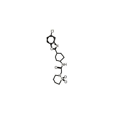 O=C(CN1CCCCS1(=O)=O)NC1CCC(c2nc3cc(Cl)ccc3o2)CC1